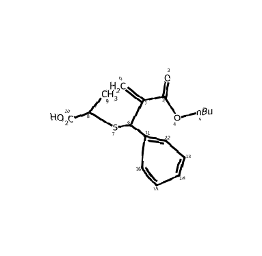 C=C(C(=O)OCCCC)C(SC(C)C(=O)O)c1ccccc1